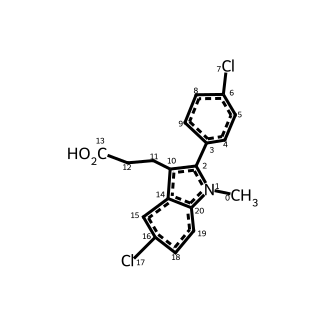 Cn1c(-c2ccc(Cl)cc2)c(CCC(=O)O)c2cc(Cl)ccc21